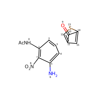 CC(=O)Nc1cccc(N)c1[N+](=O)[O-].O=C1c2csc1c2